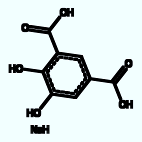 O=C(O)c1cc(O)c(O)c(C(=O)O)c1.[NaH]